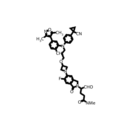 CNC(=O)CCC(C=O)N1Cc2cc(N3CC(OCCCN(c4ccc(C5(C#N)CC5)cc4)c4cc(-c5c(C)noc5C)ccc4C)C3)c(F)cc2C1=O